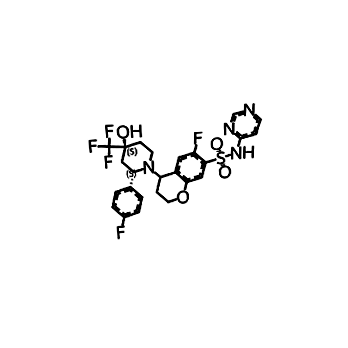 O=S(=O)(Nc1ccncn1)c1cc2c(cc1F)C(N1CC[C@@](O)(C(F)(F)F)C[C@H]1c1ccc(F)cc1)CCO2